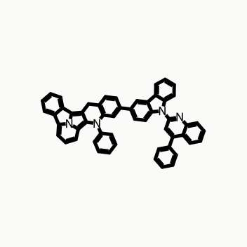 c1ccc(-c2cc(-n3c4ccccc4c4cc(-c5ccc6c(c5)N(c5ccccc5)c5c(c7c8ccccc8c8cccc5n87)C6)ccc43)nc3ccccc23)cc1